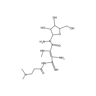 CN/C(C(=O)N(N)C1OC(CO)C(O)C1O)=C(/N)C(=N)NC(=O)CCN(C)C